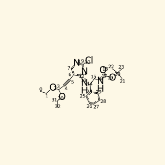 CCOC(C#Cc1cnc(Cl)nc1NC(CNC(=O)OC(C)(C)C)c1ccccc1)OCC